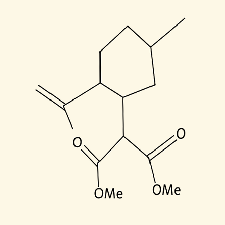 C=C(C)C1CCC(C)CC1C(C(=O)OC)C(=O)OC